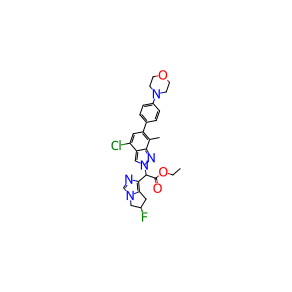 CCOC(=O)C(c1ncn2c1C[C@@H](F)C2)n1cc2c(Cl)cc(-c3ccc(N4CCOCC4)cc3)c(C)c2n1